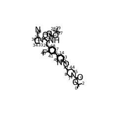 CC(C)OC(=O)N1CCC(COc2ccc(-c3ccc(CC(NC(=O)OC(C)(C)C)C(=O)N4CCCC4C#N)c(F)c3)cn2)CC1